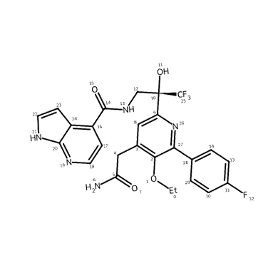 CCOc1c(CC(N)=O)cc([C@@](O)(CNC(=O)c2ccnc3[nH]ccc23)C(F)(F)F)nc1-c1ccc(F)cc1